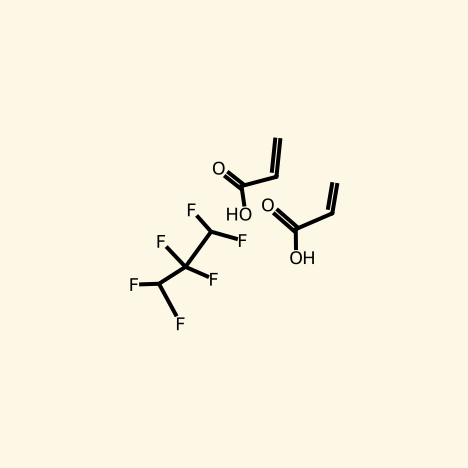 C=CC(=O)O.C=CC(=O)O.FC(F)C(F)(F)C(F)F